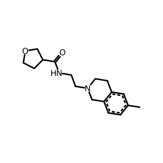 Cc1ccc2c(c1)CCN(CCNC(=O)C1CCOC1)C2